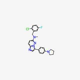 CN(Cc1cc(F)ccc1Cl)c1ccc2ncc(-c3ccc(N4CCCC4)cc3)n2n1